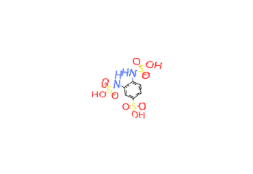 O=S(=O)(O)Nc1ccc(S(=O)(=O)O)cc1NS(=O)(=O)O